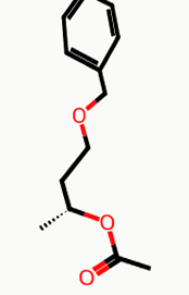 CC(=O)O[C@H](C)CCOCc1ccccc1